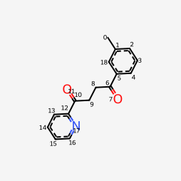 Cc1cccc(C(=O)CCC(=O)c2ccccn2)c1